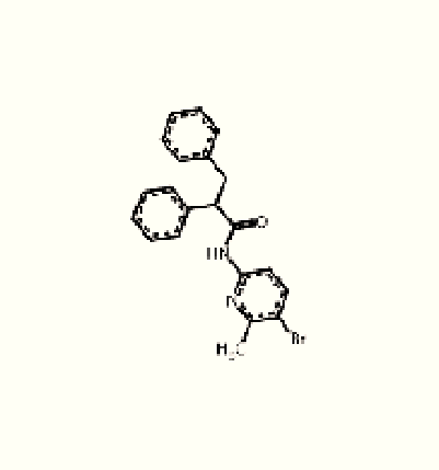 Cc1nc(NC(=O)C(Cc2ccccc2)c2ccccc2)ccc1Br